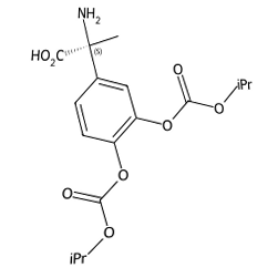 CC(C)OC(=O)Oc1ccc([C@](C)(N)C(=O)O)cc1OC(=O)OC(C)C